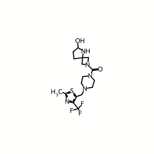 Cc1nc(C(F)(F)F)c(CN2CCN(C(=O)N3CC4(CCC(O)N4)C3)CC2)s1